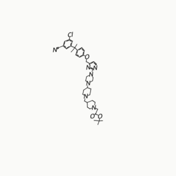 CC(C)(C)OC(=O)CN1CCC(CN2CCC(N3CCN(c4nccc(COc5ccc(C(C)(C)c6cc(Cl)cc(C#N)c6)cc5)n4)CC3)CC2)CC1